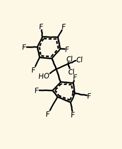 OC(c1c(F)c(F)c(F)c(F)c1F)(c1c(F)c(F)c(F)c(F)c1F)C(Cl)(Cl)Cl